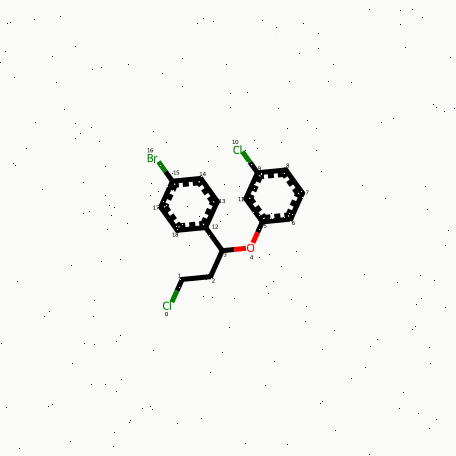 ClCCC(Oc1cccc(Cl)c1)c1ccc(Br)cc1